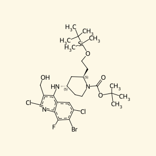 CC(C)(C)OC(=O)N1CC[C@H](Nc2c(CO)c(Cl)nc3c(F)c(Br)c(Cl)cc23)C[C@H]1CCO[Si](C)(C)C(C)(C)C